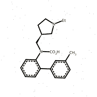 CCN1CC[C@H](CN(C(=O)O)c2ccccc2-c2cccc(C)c2)C1